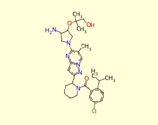 Cc1cn2nc(C3CCCCN3C(=O)c3cc(Cl)ccc3C(C)C)cc2nc1N1CC(N)C(OC(C)(C)CO)C1